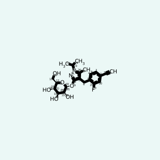 C#Cc1ccc(Cc2c(O[C@H]3O[C@H](CO)[C@@H](O)[C@H](O)[C@H]3O)nn(C(C)C)c2C)c(F)c1